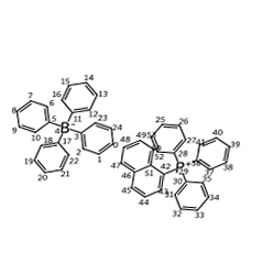 c1ccc([B-](c2ccccc2)(c2ccccc2)c2ccccc2)cc1.c1ccc([P+](c2ccccc2)(c2ccccc2)c2cccc3ccccc23)cc1